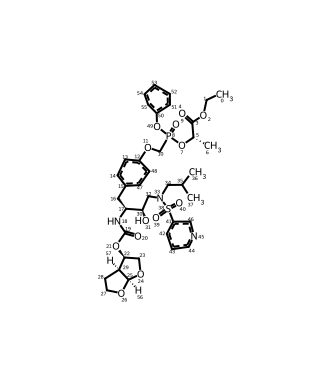 CCOC(=O)[C@H](C)OP(=O)(COc1ccc(C[C@H](NC(=O)O[C@H]2CO[C@H]3OCC[C@H]32)[C@H](O)CN(CC(C)C)S(=O)(=O)c2cccnc2)cc1)Oc1ccccc1